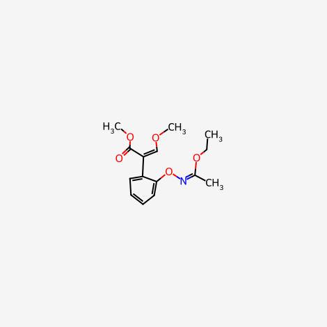 CCOC(C)=NOc1ccccc1C(=COC)C(=O)OC